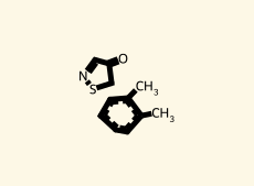 Cc1ccccc1C.O=C1C=NSC1